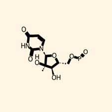 C[C@@]1(O)[C@H](O)[C@@H](COP=O)O[C@H]1n1ccc(=O)[nH]c1=O